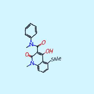 CSc1cccc2c1c(O)c(C(=O)N(C)c1ccccc1)c(=O)n2C